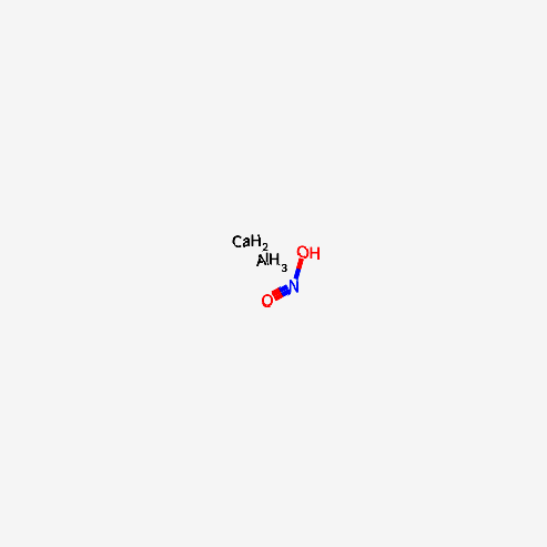 O=NO.[AlH3].[CaH2]